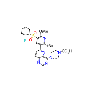 COc1nc(C(C)(C)C)c(-c2ccc3ncnc(N4CCN(C(=O)O)CC4)c3n2)cc1S(=O)(=O)c1ccccc1F